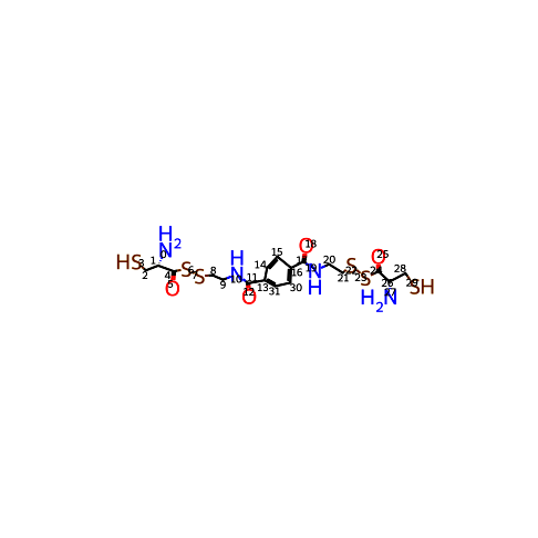 N[C@@H](CS)C(=O)SSCCNC(=O)c1ccc(C(=O)NCCSSC(=O)[C@@H](N)CS)cc1